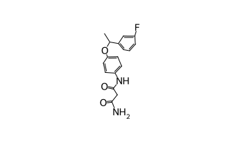 CC(Oc1ccc(NC(=O)CC(N)=O)cc1)c1cccc(F)c1